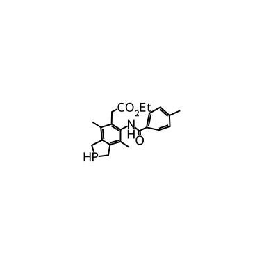 CCOC(=O)Cc1c(C)c2c(c(C)c1NC(=O)c1ccc(C)cc1)CPC2